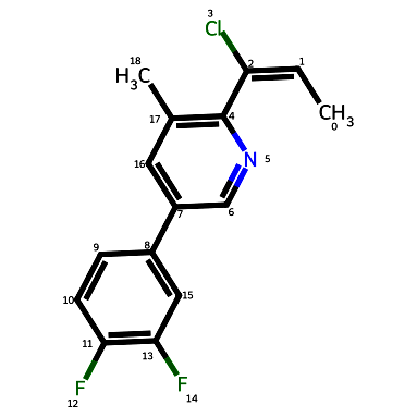 C/C=C(/Cl)c1ncc(-c2ccc(F)c(F)c2)cc1C